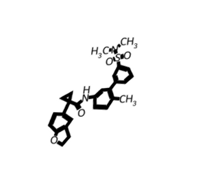 Cc1ccc(NC(=O)C2(c3ccc4c(c3)CCO4)CC2)cc1-c1cccc(S(=O)(=O)N(C)C)c1